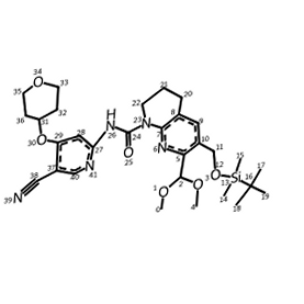 COC(OC)c1nc2c(cc1CO[Si](C)(C)C(C)(C)C)CCCN2C(=O)Nc1cc(OC2CCOCC2)c(C#N)cn1